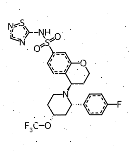 O=S(=O)(Nc1ncns1)c1ccc2c(c1)OCC[C@H]2N1CC[C@@H](OC(F)(F)F)C[C@H]1c1ccc(F)cc1